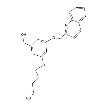 OCCCCOc1cc(CO)cc(OCc2ccc3ccccc3n2)c1